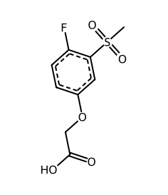 CS(=O)(=O)c1cc(OCC(=O)O)ccc1F